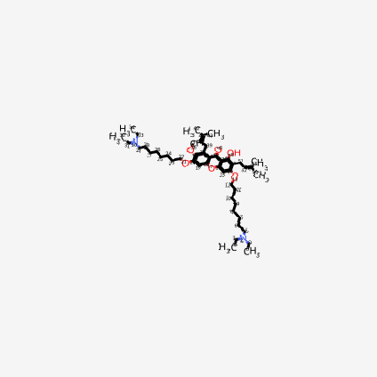 CCN(CC)CCCCCCCCOc1cc2oc3cc(OCCCCCCCCN(CC)CC)c(OC)c(CC=C(C)C)c3c(=O)c2c(O)c1CC=C(C)C